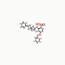 CCC(O)c1ccc(OCc2ccccc2)cc1CCCC1(C)CC(c2ccccc2)C1